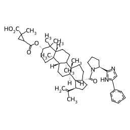 C=C(C)[C@@H]1CC[C@]2(C(=O)N3CCC[C@H]3c3ncc(-c4ccccc4)[nH]3)CC[C@]3(C)[C@H](CC[C@@H]4[C@@]5(C)CC[C@H](OC(=O)C6CC6(C)C(=O)O)C(C)(C)[C@@H]5CC[C@]43C)[C@@H]12